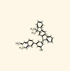 C=C/C=c1/ccc(-c2cc(Br)cc(-n3c4ccccc4c4cc5c(cc43)C(C)(C)c3ccccc3-5)c2)c/c1=C/C